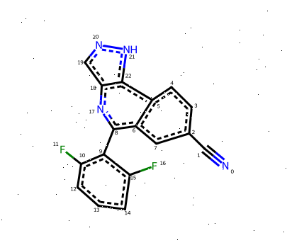 N#Cc1ccc2c(c1)c(-c1c(F)cccc1F)nc1cn[nH]c12